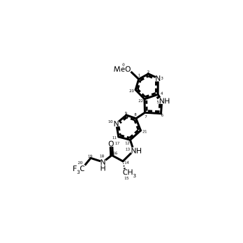 COc1cnc2[nH]cc(-c3cncc(N[C@H](C)C(=O)NCC(F)(F)F)c3)c2c1